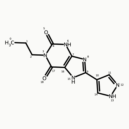 CCCn1c(=O)[nH]c2nc(-c3cn[nH]c3)[nH]c2c1=O